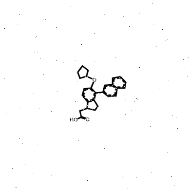 O=C(O)CC1CCc2c1ccc(OC1CCCC1)c2-c1ccc2ccccc2c1